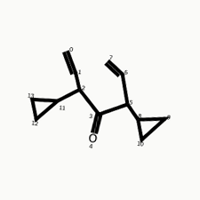 C=CC(C(=O)C(C=C)C1CC1)C1CC1